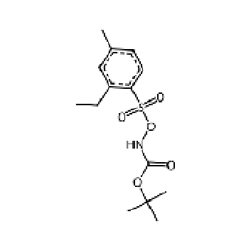 CCc1cc(C)ccc1S(=O)(=O)ONC(=O)OC(C)(C)C